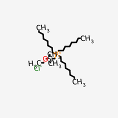 CCCCCCCC[P+](CCCCCCCC)(CCCCCCCC)C[Si](C)(C)OCC.[Cl-]